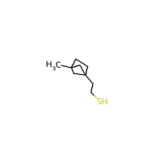 CC12CCC(CCS)(C1)C2